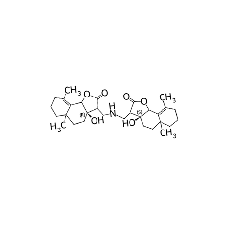 CC1=C2C3OC(=O)C(CNCC4C(=O)OC5C6=C(C)CCCC6(C)CC[C@]45O)[C@]3(O)CCC2(C)CCC1